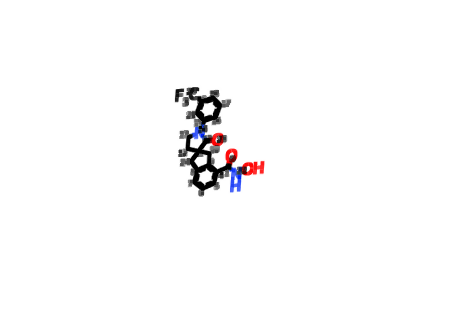 O=C(NO)c1cccc2c1CC1(CCN(c3cccc(C(F)(F)F)c3)C1=O)C2